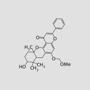 COCOc1cc2oc(-c3ccccc3)cc(=O)c2c2c1CC1C(C)(CCC(O)C1(C)C)O2